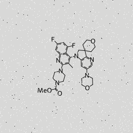 COC(=O)N1CCN(c2nc3cc(F)cc(F)c3c(N3CC4(CCOCC4)c4ncc(N5CCOCC5)cc43)c2C)CC1